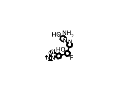 Cn1ccn(-c2ccc(-c3cc(F)cc(-c4ccnc(N5C=C(N)[C@H](O)CC5)c4)c3O)cc2Cl)c1=O